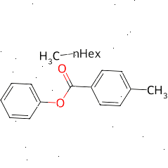 CCCCCCC.Cc1ccc(C(=O)Oc2ccccc2)cc1